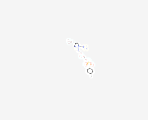 Cc1ccc(S(=O)(=O)OCCOCCn2cc(Br)cc2C#N)cc1